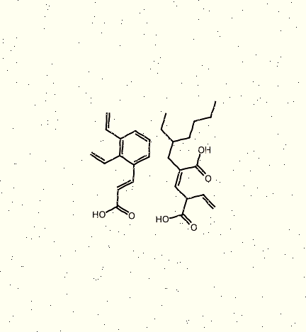 C=CC(C=C(CC(CC)CCCC)C(=O)O)C(=O)O.C=Cc1cccc(C=CC(=O)O)c1C=C